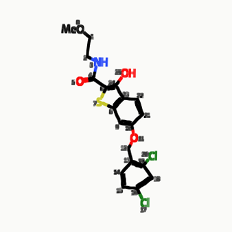 COCCNC(=O)c1sc2cc(OCc3ccc(Cl)cc3Cl)ccc2c1O